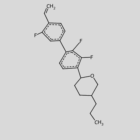 C=Cc1ccc(-c2ccc(C3CCC(CCC)CO3)c(F)c2F)cc1F